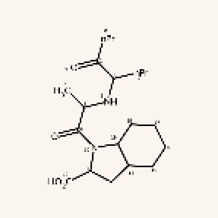 CCCC(=O)C(CCC)NC(C)C(=O)N1C(C(=O)O)CC2CCCCC21